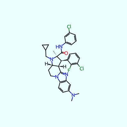 CN(C)c1ccc2c(c1)nc1n2CC[C@H]2[C@@H]1[C@H](c1cccc(Cl)c1F)[C@](C)(C(=O)Nc1cccc(Cl)c1)N2CC1CC1